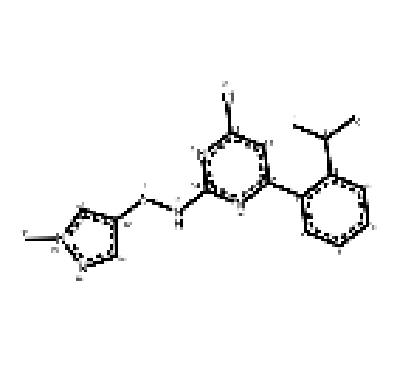 CC(C)c1ccccc1-c1cc(Cl)nc(NSc2cnn(C)c2)n1